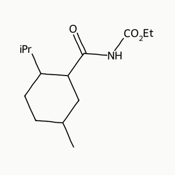 CCOC(=O)NC(=O)C1CC(C)CCC1C(C)C